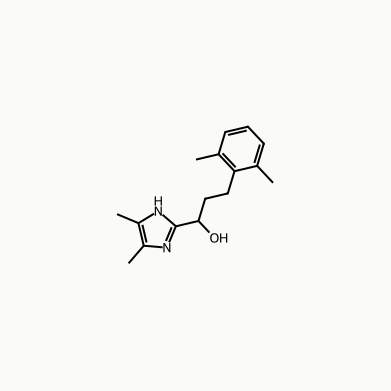 Cc1cccc(C)c1CCC(O)c1nc(C)c(C)[nH]1